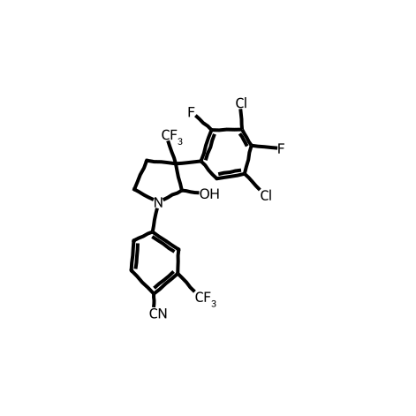 N#Cc1ccc(N2CCC(c3cc(Cl)c(F)c(Cl)c3F)(C(F)(F)F)C2O)cc1C(F)(F)F